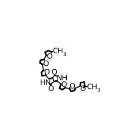 Cc1ccc(-c2ccc(-c3ccc(C4=C5C(=O)NC(c6ccc(-c7ccc(-c8ccc(C)o8)o7)o6)=C5C(=O)N4)o3)o2)o1